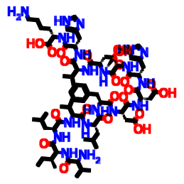 CC[C@H](C)[C@H](NC(=O)[C@@H](N)C(C)C)C(=O)N[C@@H](CC(C)C)C(=O)N[C@H](C(=O)N[C@@H](CC(C)C)C(=O)N[C@@H](Cc1ccccc1)C(=O)N[C@@H](CC(=O)O)C(=O)N[C@@H](CC(=O)O)C(=O)N[C@@H](Cc1c[nH]cn1)C(=O)N[C@@H](CO)C(=O)N[C@@H](CC(=O)O)C(=O)N[C@H](C(=O)N[C@@H](Cc1c[nH]cn1)C(=O)N[C@@H](CCCCN)C(=O)O)C(C)C)C(C)C